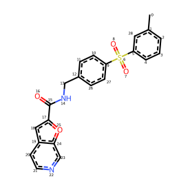 Cc1cccc(S(=O)(=O)c2ccc(CNC(=O)c3cc4ccncc4o3)cc2)c1